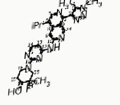 Cc1c(-c2ncc(C(C)C)c3cc(Nc4ccnc(N5CC[C@@H](O)[C@@](C)(F)C5)n4)ncc23)nnn1C